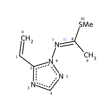 C=Cc1ncnn1/N=C(\C)SC